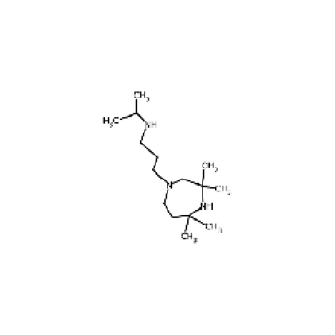 CC(C)NCCCN1CCC(C)(C)NC(C)(C)C1